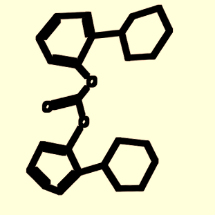 O=C(Oc1ccccc1C1CCCCC1)Oc1ccccc1C1CCCCC1